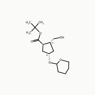 CC(C)(C)OC(=O)N1C[C@@H](OC2CCCCO2)C[C@H]1CO